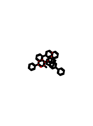 CC1C=C(c2ccccc2)C=CC1N(c1ccc(-c2ccccc2)cc1-c1ccccc1)c1ccccc1-c1cccc2cccc(C34CC5CC6CC(C3)C654)c12